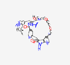 Cc1cc(C[C@H]2NC(=O)c3cnc4c(c3)C[C@@]3(C4)C(=O)Nc4ncc(cc43)/C=C/COCCOCCN(C)C2=O)cc2cn[nH]c12